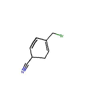 N#CC1C=CC(CBr)=CC1